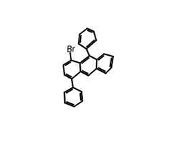 Brc1ccc(-c2ccccc2)c2cc3ccccc3c(-c3ccccc3)c12